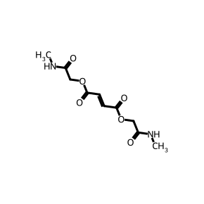 CNC(=O)COC(=O)/C=C/C(=O)OCC(=O)NC